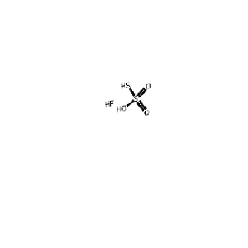 F.O=S(=O)(O)S